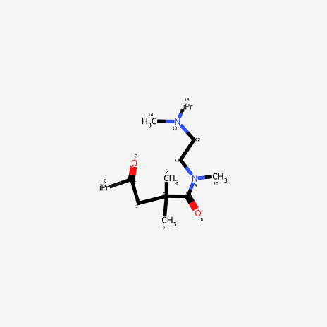 CC(C)C(=O)CC(C)(C)C(=O)N(C)CCN(C)C(C)C